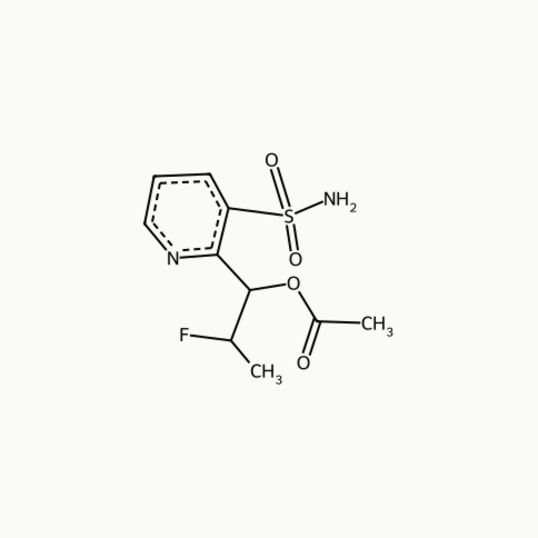 CC(=O)OC(c1ncccc1S(N)(=O)=O)C(C)F